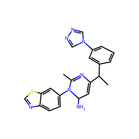 CC1=NC(C(C)c2cccc(-n3cnnc3)c2)=CC(N)N1c1ccc2ncsc2c1